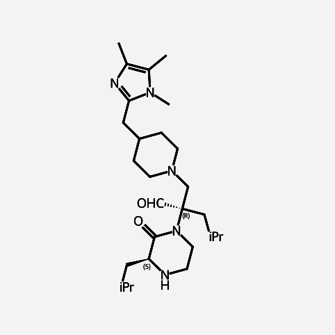 Cc1nc(CC2CCN(C[C@@](C=O)(CC(C)C)N3CCN[C@@H](CC(C)C)C3=O)CC2)n(C)c1C